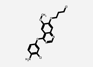 COc1cc2c(Oc3ccc(N)c(Cl)c3)ncnc2cc1OCCCCl